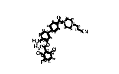 CC(Oc1cc(-c2ccc(C(=O)N3CCN(CCC#N)CC3)cc2)cnc1N)c1c(Cl)ccc(F)c1Cl